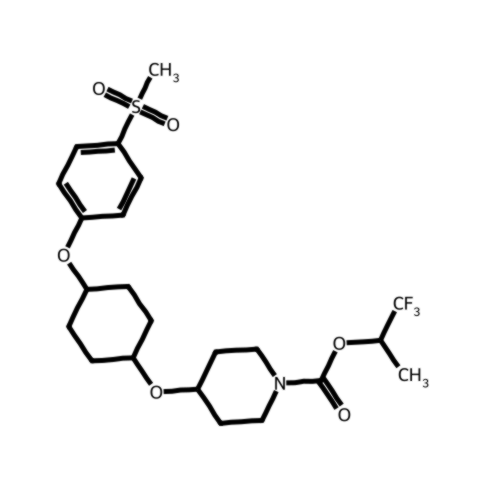 CC(OC(=O)N1CCC(OC2CCC(Oc3ccc(S(C)(=O)=O)cc3)CC2)CC1)C(F)(F)F